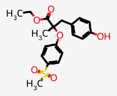 CCOC(=O)C(C)(Cc1ccc(O)cc1)Oc1ccc(S(C)(=O)=O)cc1